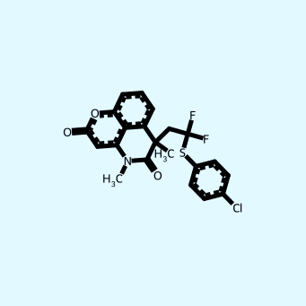 CN1C(=O)C(C)(CC(F)(F)Sc2ccc(Cl)cc2)c2cccc3oc(=O)cc1c23